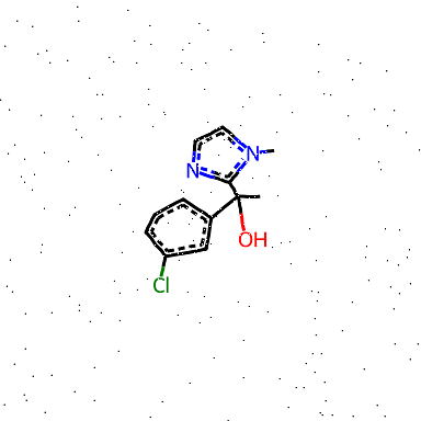 Cn1ccnc1C(C)(O)c1cccc(Cl)c1